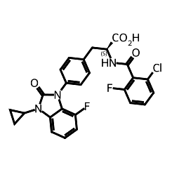 O=C(N[C@@H](Cc1ccc(-n2c(=O)n(C3CC3)c3cccc(F)c32)cc1)C(=O)O)c1c(F)cccc1Cl